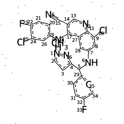 Cn1ccc(C(Nc2cc(Cl)c3ncc(C#N)c(Nc4ccc(F)c(Cl)c4)c3c2)c2ccc(F)cc2)n1